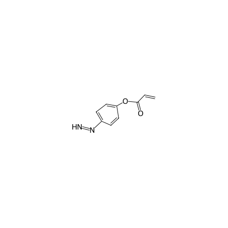 C=CC(=O)Oc1ccc(N=N)cc1